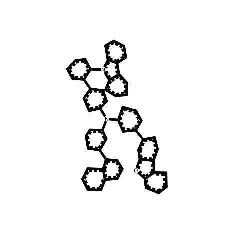 c1cc(-c2ccc3c(c2)oc2ccccc23)cc(N(c2ccc(-c3ccccc3-n3c4ccccc4c4ccccc43)cc2)c2cccc(-c3cccc4ccccc34)c2)c1